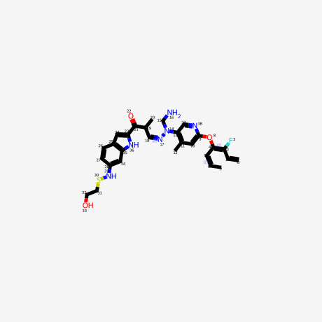 C=C/C(F)=C(\C=C/C)Oc1cc(C)c(N(CN)/N=C\C(C)C(=O)c2cc3ccc(NSCCO)cc3[nH]2)cn1